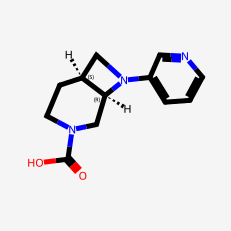 O=C(O)N1CC[C@H]2CN(c3cccnc3)[C@H]2C1